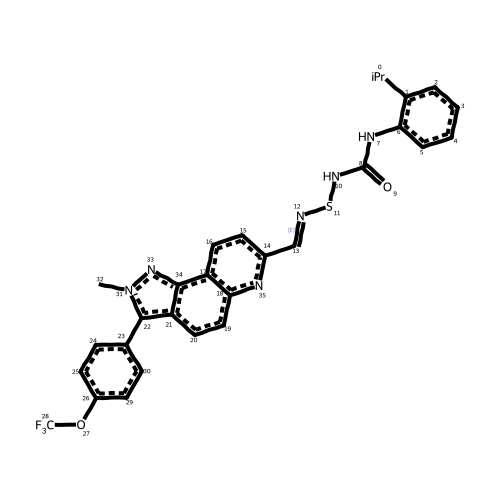 CC(C)c1ccccc1NC(=O)NS/N=C/c1ccc2c(ccc3c(-c4ccc(OC(F)(F)F)cc4)n(C)nc32)n1